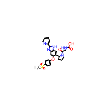 CS(=O)(=O)c1ccc(Oc2cc3nc(-c4ccccn4)[nH]c3cc2C2CCCN2C(=O)CNC(=O)O)cc1